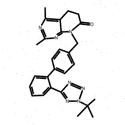 Cc1nc(C)c2c(n1)N(Cc1ccc(-c3ccccc3-c3nnn(C(C)(C)C)n3)cc1)C(=O)CC2